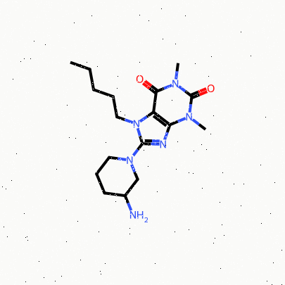 CCCCCn1c(N2CCCC(N)C2)nc2c1c(=O)n(C)c(=O)n2C